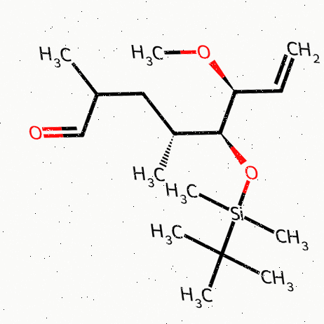 C=C[C@H](OC)[C@@H](O[Si](C)(C)C(C)(C)C)[C@H](C)CC(C)C=O